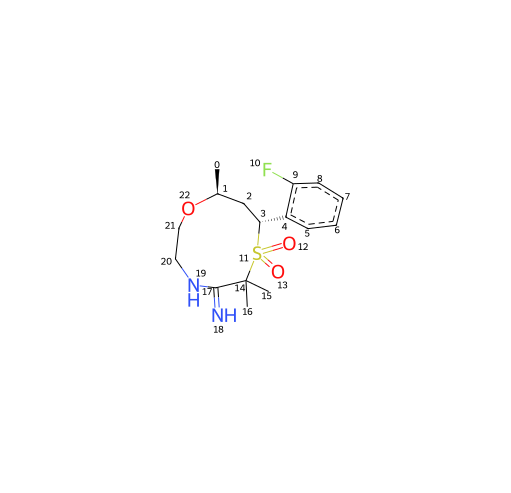 C[C@H]1C[C@H](c2ccccc2F)S(=O)(=O)C(C)(C)C(=N)NCCO1